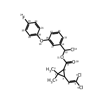 CC1(C)C(C=C(Cl)Cl)C1C(=O)OC(Cl)c1cccc(Oc2ccc(F)cc2)c1